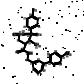 COCC(C(=O)NCc1cccc(-c2ccc(C(F)(F)F)cc2)c1)N(C)S(=O)(=O)c1ccc(F)cc1